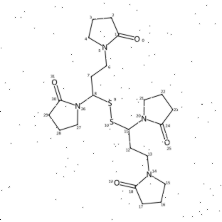 O=C1CCCN1CCC(SSC(CCN1CCCC1=O)N1CCCC1=O)N1CCCC1=O